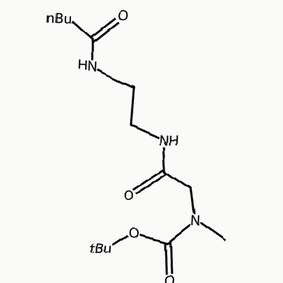 CCCCC(=O)NCCNC(=O)CN(C)C(=O)OC(C)(C)C